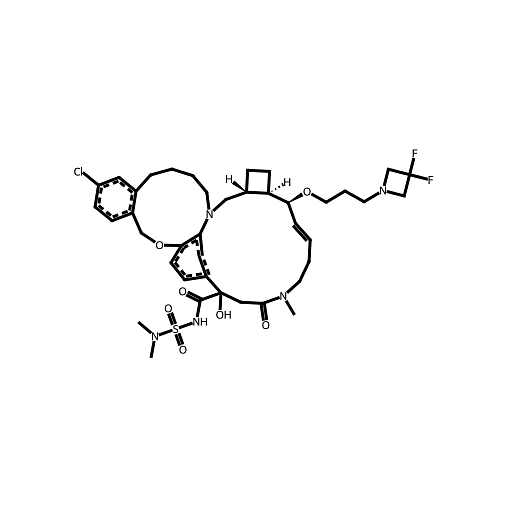 CN1CC/C=C/[C@H](OCCCN2CC(F)(F)C2)[C@@H]2CC[C@H]2CN2CCCCc3cc(Cl)ccc3COc3ccc(cc32)C(O)(C(=O)NS(=O)(=O)N(C)C)CC1=O